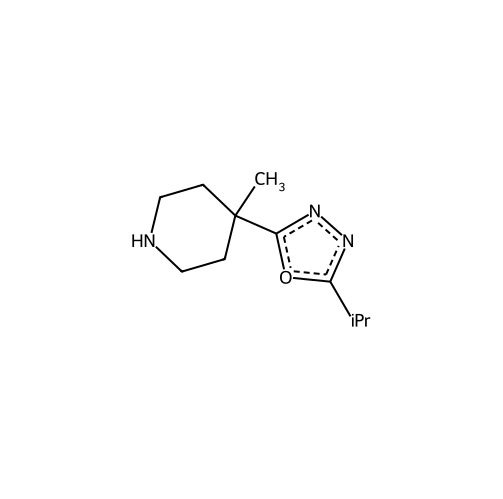 CC(C)c1nnc(C2(C)CCNCC2)o1